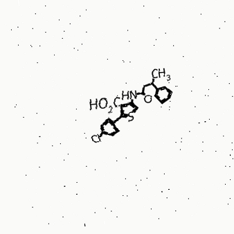 CC(CC(=O)Nc1csc(-c2ccc(Cl)cc2)c1C(=O)O)c1ccccc1